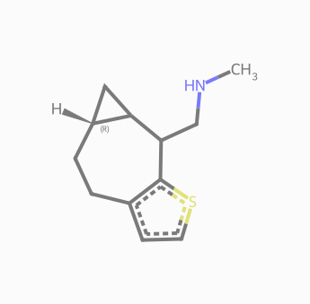 CNCC1c2sccc2CC[C@@H]2CC12